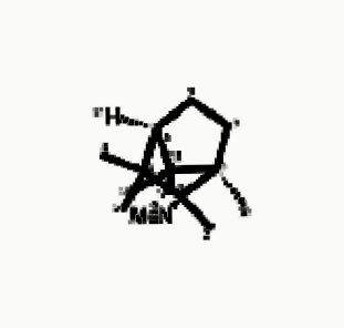 CN[C@]1(C)C(C)(C)[C@H]2CC[C@]1(C)C2(C)C